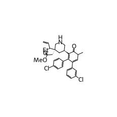 C=CC(CC)[C@@]1(CC(=O)OC)CNC[C@@H](C2=C(c3ccc(Cl)cc3)C(c3cccc(Cl)c3)=CC(C)C2=O)C1